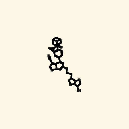 N#Cc1cnn2cc(OCCC3COC4C(O)COC34)cc(-c3ccc(N4CC5CC(C4)N5C(=O)C4CC4)nc3)c12